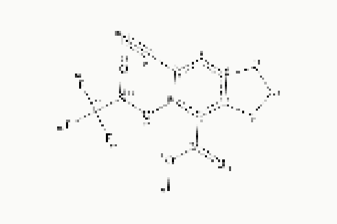 COC(=O)c1c2c(cc(C#N)c1OS(=O)C(F)(F)F)CCC2